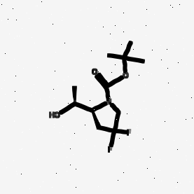 C[C@H](O)[C@@H]1CC(F)(F)CN1C(=O)OC(C)(C)C